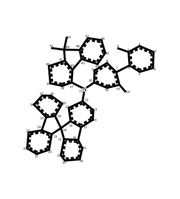 Cc1ccccc1-c1ccc(N(c2ccc3c(c2)C2(c4ccccc4-c4ccccc42)c2ccccc2-3)c2cccc3c2-c2ccccc2C3(C)C)cc1C